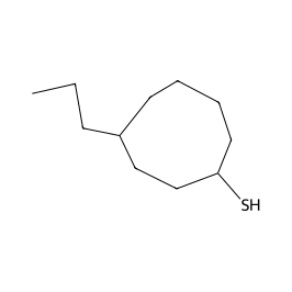 CCCC1CCCCC(S)CC1